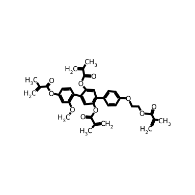 C=C(C)C(=O)OCCOc1ccc(-c2cc(OC(=O)C(=C)C)c(-c3ccc(OC(=O)C(=C)C)cc3OC)cc2OC(=O)C(=C)C)cc1